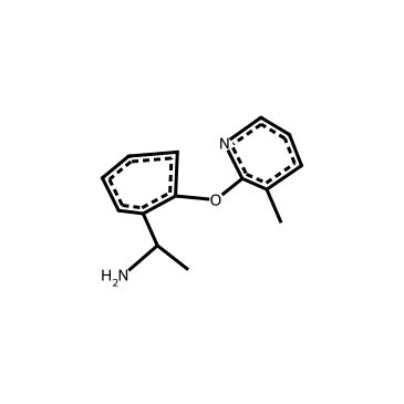 Cc1cccnc1Oc1ccccc1C(C)N